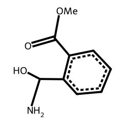 COC(=O)c1ccccc1C(N)O